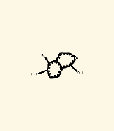 Cc1ccc2c(O)nccc2c1Br